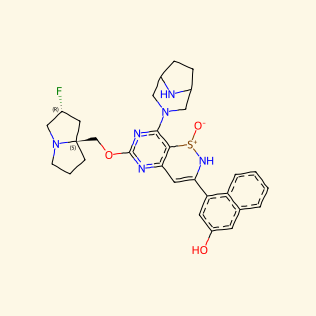 [O-][S+]1NC(c2cc(O)cc3ccccc23)=Cc2nc(OC[C@@]34CCCN3C[C@H](F)C4)nc(N3CC4CCC(C3)N4)c21